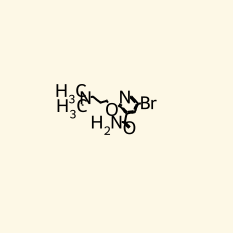 CN(C)CCCOc1ncc(Br)cc1C(N)=O